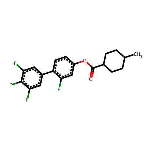 CC1CCC(C(=O)Oc2ccc(-c3cc(F)c(F)c(F)c3)c(F)c2)CC1